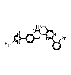 CC(C)c1ccccc1-c1ncc2c(n1)N(Cc1ccc(-c3nc(C(F)(F)F)cn3C)cc1)C(=O)NC2